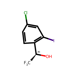 O[C@H](c1ccc(Cl)cc1I)C(F)(F)F